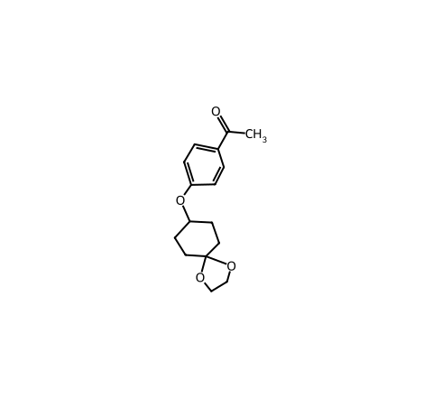 CC(=O)c1ccc(OC2CCC3(CC2)OCCO3)cc1